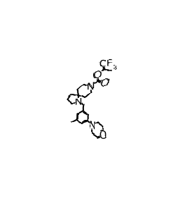 Cc1cc(CN2CCCC23CCN(C(=O)OC(C)C(F)(F)F)CC3)cc(N2CCOCC2)c1